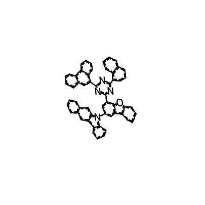 c1ccc2cc3c(cc2c1)c1ccccc1n3-c1cc(-c2nc(-c3cccc4ccccc34)nc(-c3cc4ccccc4c4ccccc34)n2)c2oc3ccccc3c2c1